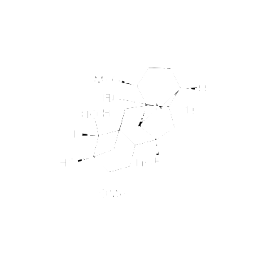 CCN1C[C@@H]2CC[C@H](OC)[C@]34C1[C@H](C[C@H]23)[C@@]1(O)C[C@H](OC)[C@@]2(O)C[C@@H]4[C@@H]1[C@H]2O